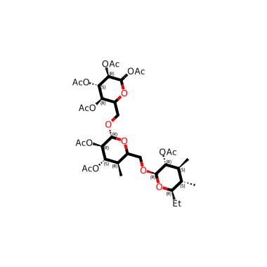 CC[C@H]1O[C@@H](OCC2O[C@@H](OCC3OC(OC(C)=O)[C@H](OC(C)=O)[C@@H](OC(C)=O)[C@@H]3OC(C)=O)[C@H](OC(C)=O)[C@@H](OC(C)=O)[C@@H]2C)[C@H](OC(C)=O)[C@@H](C)[C@@H]1C